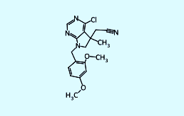 COc1ccc(CN2CC(C)(CC#N)c3c(Cl)ncnc32)c(OC)c1